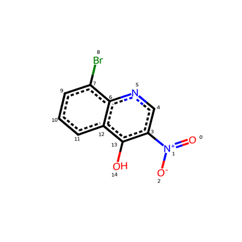 O=[N+]([O-])c1cnc2c(Br)cccc2c1O